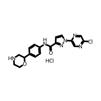 Cl.O=C(Nc1ccc(C2CNCCO2)cc1)c1ccn(-c2cnc(Cl)cn2)n1